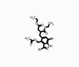 CCOC(=O)CC(Cc1cc(Br)c2[nH]nc(Br)c2c1COC(C)=O)C(=O)OCC